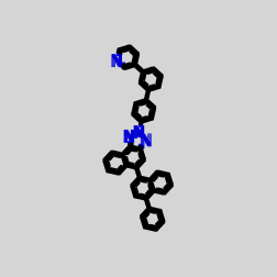 c1ccc(-c2ccc(-c3cc4nn(-c5ccc(-c6cccc(-c7cccnc7)c6)cc5)nc4c4ccccc34)c3ccccc23)cc1